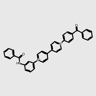 O=C(Nc1cccc(-[n+]2ccc(-c3cc[n+](-c4ccc(C(=O)c5ccccc5)cc4)cc3)cc2)c1)c1ccccc1